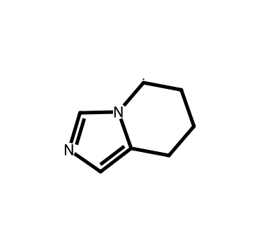 [CH]1CCCc2cncn21